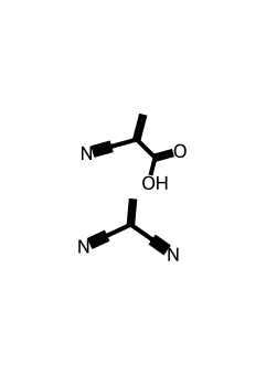 C=C(C#N)C#N.C=C(C#N)C(=O)O